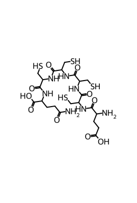 NC(=O)CCC(NC(=O)C(CS)NC(=O)C(CS)NC(=O)C(CS)NC(=O)C(CS)NC(=O)C(N)CCC(=O)O)C(=O)O